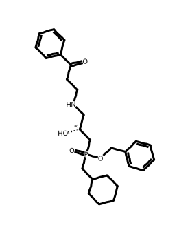 O=C(CCNC[C@@H](O)CP(=O)(CC1CCCCC1)OCc1ccccc1)c1ccccc1